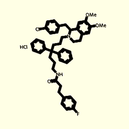 COc1cc2c(cc1OC)C(Cc1ccc(Cl)cc1)N(CCCC(CCCNC(=O)CCc1ccc(F)cc1)(c1ccccc1)c1ccccc1)CC2.Cl